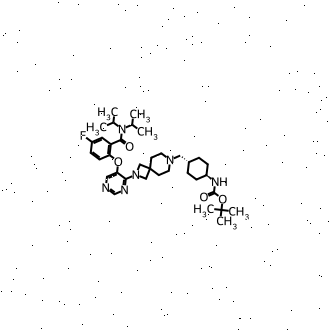 CC(C)N(C(=O)c1cc(F)ccc1Oc1cncnc1N1CC2(CCN(C[C@H]3CC[C@H](NC(=O)OC(C)(C)C)CC3)CC2)C1)C(C)C